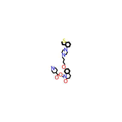 CN1CCC(C(=O)OCN2C(=O)CCc3ccc(OCCCCN4CCN(c5cccc6sccc56)CC4)cc32)CC1